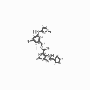 Cn1ccc(Nc2cc(F)cc(CNC(=O)c3ncnc4nc(C5CCCC5)[nH]c34)c2)n1